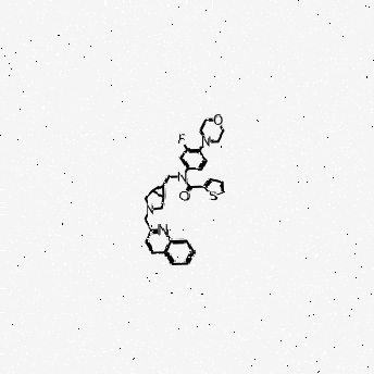 O=C(c1cccs1)N(CC1C2CN(Cc3ccc4ccccc4n3)CC21)c1ccc(N2CCOCC2)c(F)c1